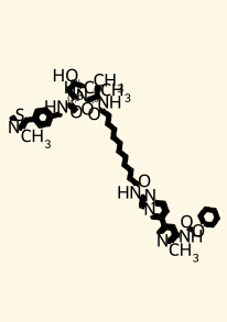 Cc1ncc(-c2ccc3nc(NC(=O)CCCCCCCCCCC(=O)N[C@H](C(=O)N4C[C@H](O)C[C@H]4C(=O)NCc4ccc(-c5scnc5C)cc4)C(C)(C)C)cn3c2)cc1NC(=O)OC1CCCCC1